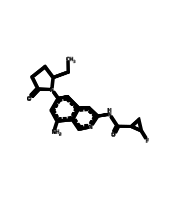 CCC1CCC(=O)N1c1cc(N)c2cnc(NC(=O)C3CC3F)cc2c1